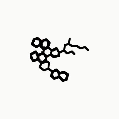 CCCCCC(C)CC(CCC)C1=C=C=C(C(C2CCCC(c3ccc4ccccc4c3)C2)N(c2ccccc2)c2ccccc2)C(C(C)N(c2ccccc2)c2ccccc2)=C1